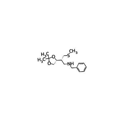 CSC[C@H](CNCc1ccccc1)[C@@H]1COC(C)(C)O1